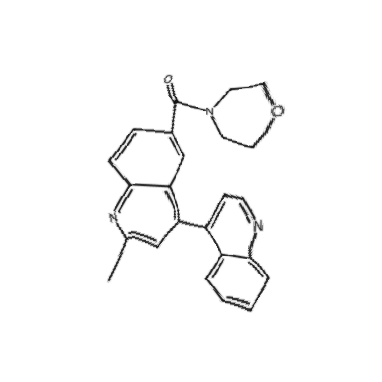 Cc1cc(-c2ccnc3ccccc23)c2cc(C(=O)N3CCOCC3)ccc2n1